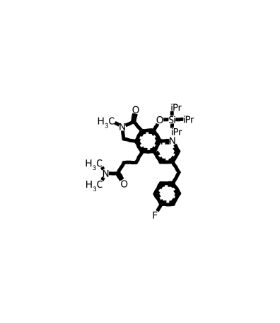 CC(C)[Si](Oc1c2c(c(CCC(=O)N(C)C)c3cc(Cc4ccc(F)cc4)cnc13)CN(C)C2=O)(C(C)C)C(C)C